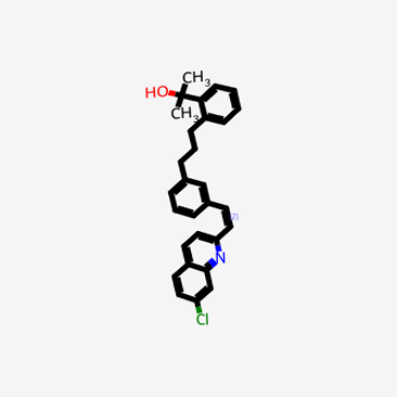 CC(C)(O)c1ccccc1CCCc1cccc(/C=C\c2ccc3ccc(Cl)cc3n2)c1